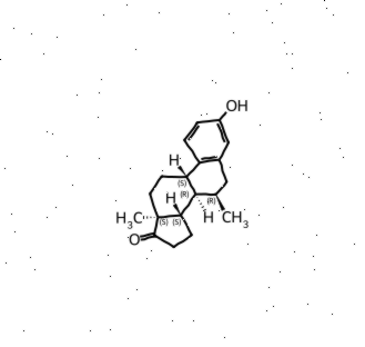 C[C@@H]1Cc2cc(O)ccc2[C@H]2CC[C@]3(C)C(=O)CC[C@H]3[C@H]12